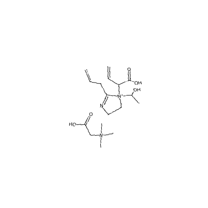 C=CCC1=NCC[N+]1(C(C)O)C(C=C)C(=O)O.C[N+](C)(C)CC(=O)O